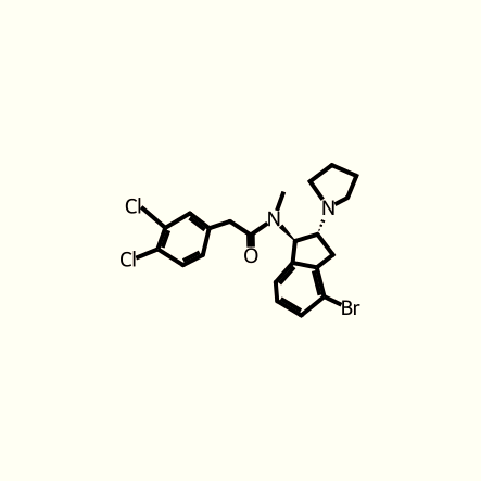 CN(C(=O)Cc1ccc(Cl)c(Cl)c1)[C@@H]1c2cccc(Br)c2C[C@H]1N1CCCC1